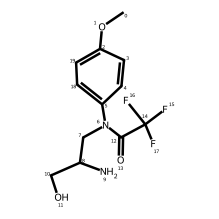 COc1ccc(N(CC(N)CO)C(=O)C(F)(F)F)cc1